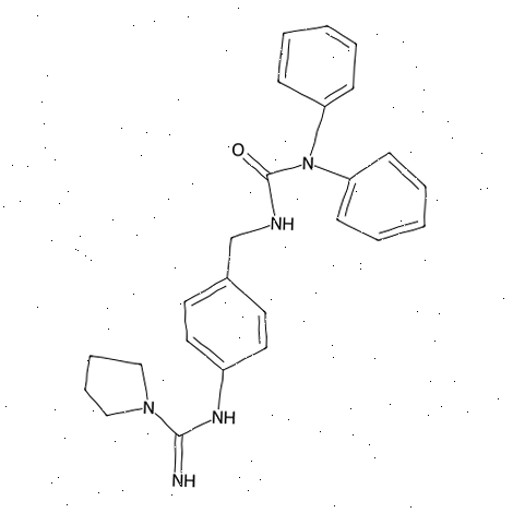 N=C(Nc1ccc(CNC(=O)N(c2ccccc2)c2ccccc2)cc1)N1CCCC1